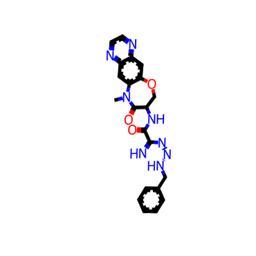 CN1C(=O)C(NC(=O)C(=N)/N=N\NCc2ccccc2)COc2cc3nccnc3cc21